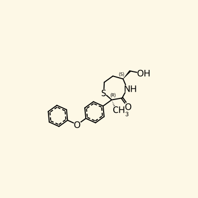 C[C@]1(c2ccc(Oc3ccccc3)cc2)SCC[C@@H](CO)NC1=O